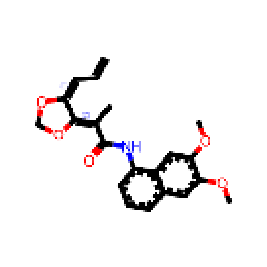 C=C/C=C1/OCO/C1=C(/C)C(=O)Nc1cccc2cc(OC)c(OC)cc12